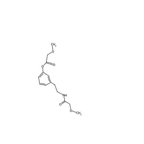 COCC(=O)NCCc1cccc(OC(=O)COC)c1